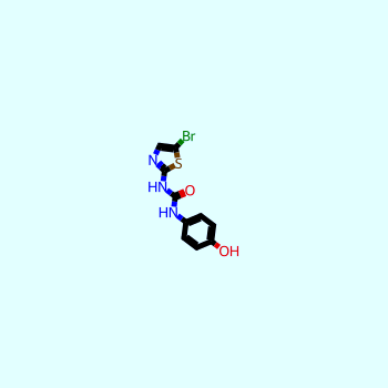 O=C(Nc1ccc(O)cc1)Nc1ncc(Br)s1